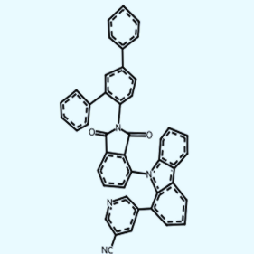 N#Cc1cncc(-c2cccc3c4ccccc4n(-c4cccc5c4C(=O)N(c4ccc(-c6ccccc6)cc4-c4ccccc4)C5=O)c23)c1